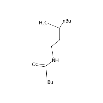 CCCCC(C)CCNC(=O)[C](C)CC